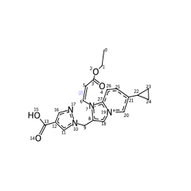 CCOC(=O)/C=C\n1c(Cn2cc(C(=O)O)cn2)c[n+]2cc(C3CC3)ccc12